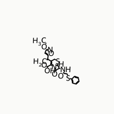 C=C(C1=C(C(=O)O)N2C(=O)[C@@H](NC(=O)CSc3ccccc3)[C@H]2SC1)c1cc(OCC)no1